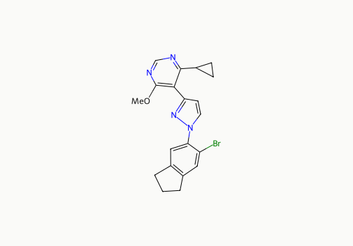 COc1ncnc(C2CC2)c1-c1ccn(-c2cc3c(cc2Br)CCC3)n1